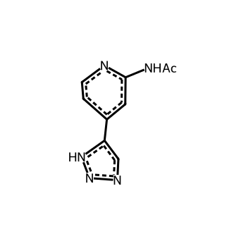 CC(=O)Nc1cc(-c2cnn[nH]2)ccn1